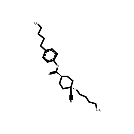 CCCCCC[C@]1(C#N)CC[C@@H](C(=O)Oc2ccc(CCCCC)cc2)CC1